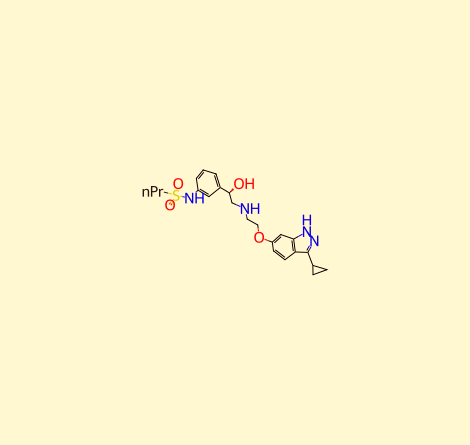 CCCS(=O)(=O)Nc1cccc([C@@H](O)CNCCOc2ccc3c(C4CC4)n[nH]c3c2)c1